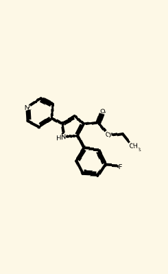 CCOC(=O)c1cc(-c2ccncc2)[nH]c1-c1cccc(F)c1